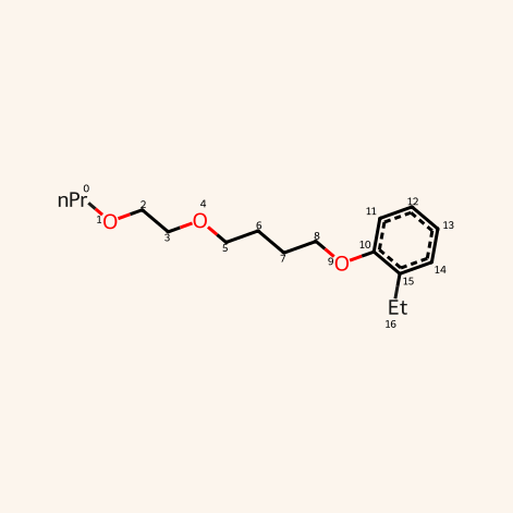 CCCOCCOCCCCOc1ccccc1CC